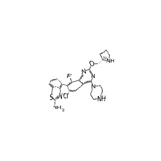 Nc1nc2c(-c3c(Cl)cc4c(N5CCNCC5)nc(OC[C@@H]5CCCN5)nc4c3F)cccc2s1